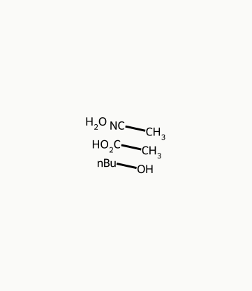 CC#N.CC(=O)O.CCCCO.O